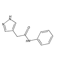 O=C(Cc1cn[nH]c1)Nc1ccccc1